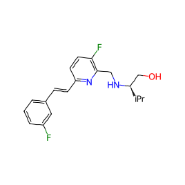 CC(C)[C@H](CO)NCc1nc(C=Cc2cccc(F)c2)ccc1F